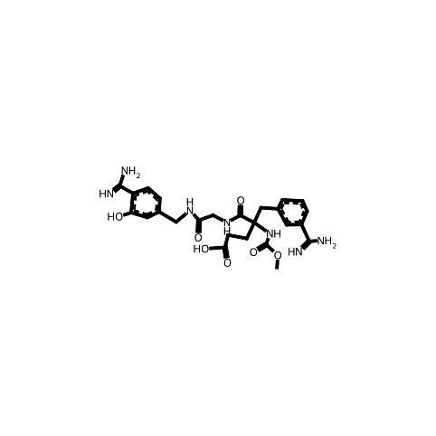 COC(=O)NC(CCC(=O)O)(Cc1cccc(C(=N)N)c1)C(=O)NCC(=O)NCc1ccc(C(=N)N)c(O)c1